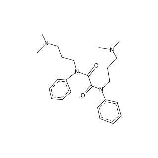 CN(C)CCCN(C(=O)C(=O)N(CCCN(C)C)c1ccccc1)c1ccccc1